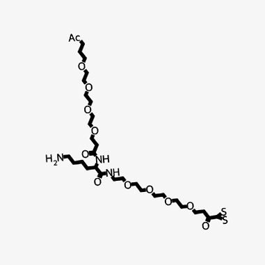 CC(=O)CCCOCCOCCOCCOCCC(=O)NC(CCCCN)C(=O)NCCOCCOCCOCCOCCC(=O)C1SS1